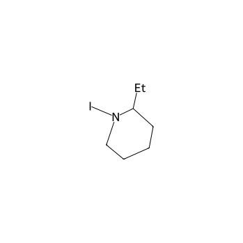 CCC1CCCCN1I